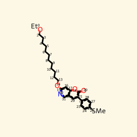 CCOCCCCCCCCCCCCOc1cc2oc(=O)c(-c3ccc(SC)cc3)cc2cn1